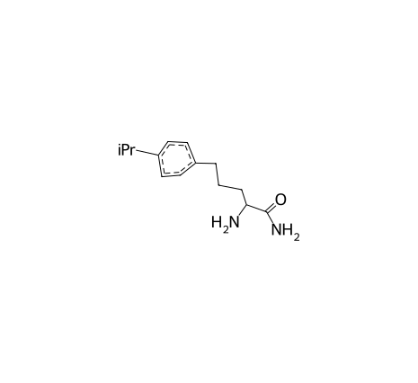 CC(C)c1ccc(CCCC(N)C(N)=O)cc1